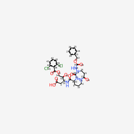 O=C(O)C[C@H](NC(=O)[C@@H]1CCCN2C(=O)CCN(NC(=O)OCc3ccccc3)C(=O)N12)C(=O)COC(=O)c1c(Cl)cccc1Cl